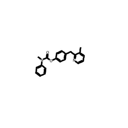 Cc1cccnc1Cc1ccc(OC(=O)N(C)c2ccccc2)cc1